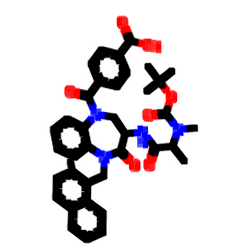 Cc1ccc2ccccc2c1CN1C(=O)C(NC(=O)C(C)N(C)C(=O)OC(C)(C)C)CN(C(=O)c2ccc(C(=O)O)cc2)c2ccccc21